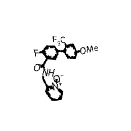 COc1ccc(-c2ccc(F)c(C(=O)NCc3cccc[n+]3[O-])c2)c(C(F)(F)F)c1